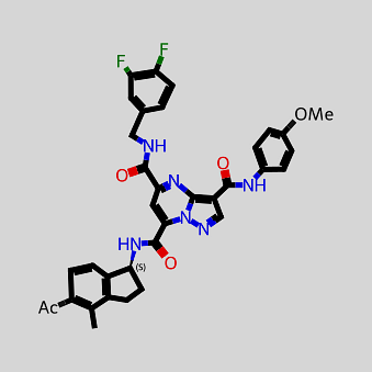 COc1ccc(NC(=O)c2cnn3c(C(=O)N[C@H]4CCc5c4ccc(C(C)=O)c5C)cc(C(=O)NCc4ccc(F)c(F)c4)nc23)cc1